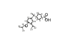 C=C(c1ccc(C(=O)O)cc1)c1ccc(OCC(C)C)c(C(C)C)c1